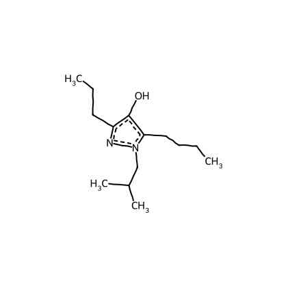 CCCCc1c(O)c(CCC)nn1CC(C)C